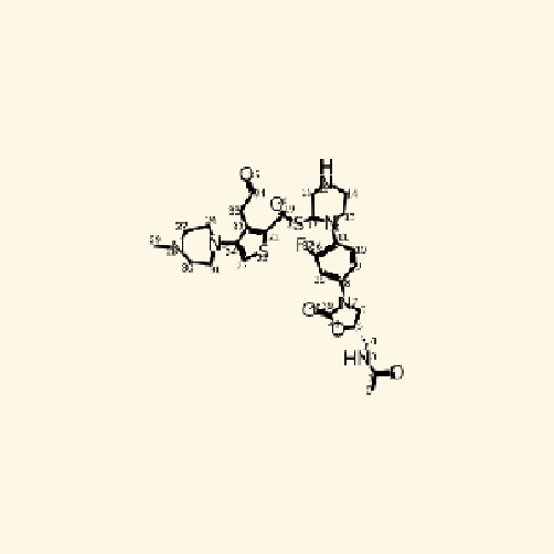 CC(=O)NC[C@H]1CN(c2ccc(N3CCNCC3SC(=O)c3scc(N4CCN(C)CC4)c3CC=O)c(F)c2)C(=O)O1